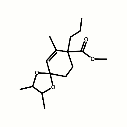 CCCC1(C(=O)OC)CCC2(C=C1C)OC(C)C(C)O2